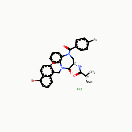 CN[C@@H](C)C(=O)N[C@H]1CN(C(=O)c2ccc(C(C)=O)cc2)c2ccccc2N(Cc2c(OC)ccc3c(Br)cccc23)C1=O.Cl